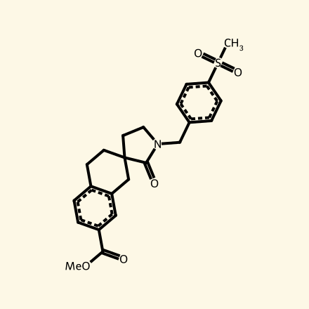 COC(=O)c1ccc2c(c1)CC1(CC2)CCN(Cc2ccc(S(C)(=O)=O)cc2)C1=O